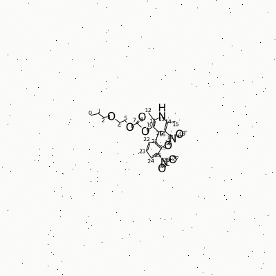 CCCOCCOC(=O)OC1=C(C)NC(C)=C([N+](=O)[O-])C1c1cccc([N+](=O)[O-])c1